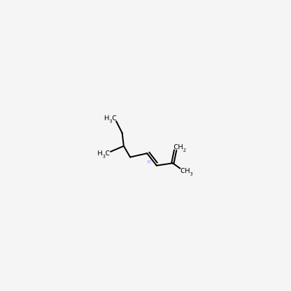 C=C(C)/C=C/CC(C)CC